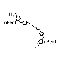 CCCCCc1cc(N)ccc1Cc1ccc(CCCCCCCc2ccc(Cc3ccc(N)cc3CCCCC)cc2)cc1